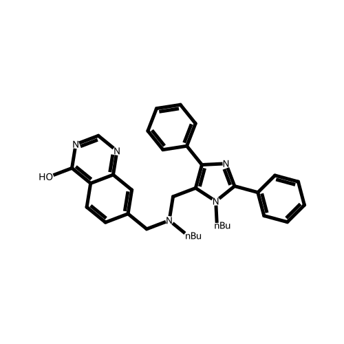 CCCCN(Cc1ccc2c(O)ncnc2c1)Cc1c(-c2ccccc2)nc(-c2ccccc2)n1CCCC